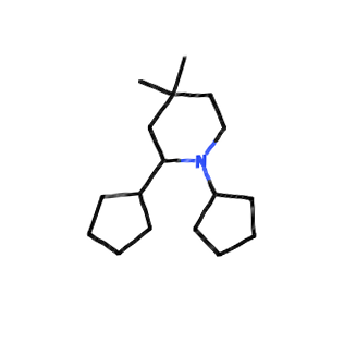 CC1(C)CCN(C2CCCC2)C(C2CCCC2)C1